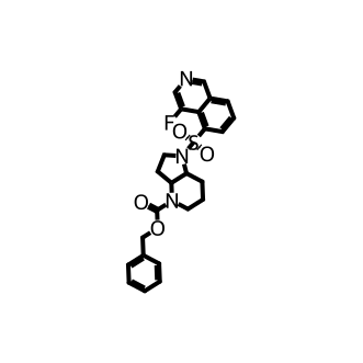 O=C(OCc1ccccc1)N1CCCC2C1CCN2S(=O)(=O)c1cccc2cncc(F)c12